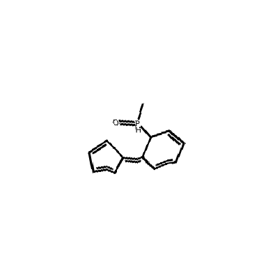 C[PH](=O)C1C=CC=CC1=C1C=CC=C1